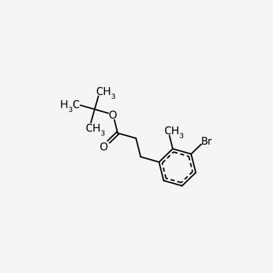 Cc1c(Br)cccc1CCC(=O)OC(C)(C)C